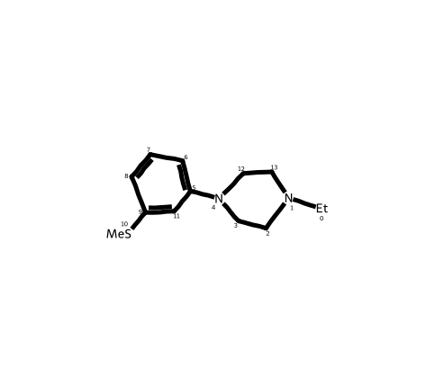 CCN1CCN(c2cccc(SC)c2)CC1